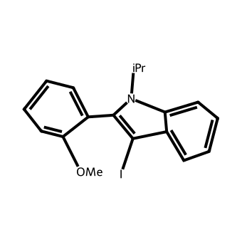 COc1ccccc1-c1c(I)c2ccccc2n1C(C)C